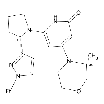 CCn1ccc([C@@H]2CCCN2c2cc(N3CCOC[C@H]3C)cc(=O)[nH]2)n1